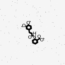 COC(=O)c1ccccc1NC(=O)C=Cc1ccc(OC)c(OC)c1